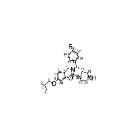 CC(C)COc1ccc(CN(Cc2ccc(F)cc2)C(=O)N2CCNCC2)cc1